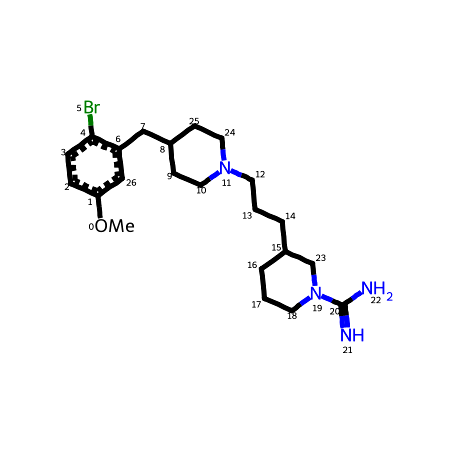 COc1ccc(Br)c(CC2CCN(CCCC3CCCN(C(=N)N)C3)CC2)c1